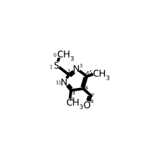 CSc1nc(C)c(C=O)c(C)n1